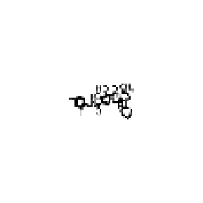 C[C@H]1CCN(C2CCCCS2)[C@H]2Cn3cc(C(=O)NCc4ccc(F)cc4F)c(=O)c(O)c3C(=O)N21